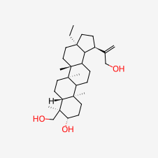 C=C(CO)[C@@H]1CC[C@]2(CC)CC[C@]3(C)C(CCC4[C@@]5(C)CC[C@H](O)[C@@](C)(CO)[C@@H]5CC[C@]43C)C12